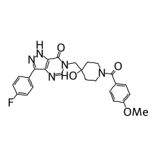 COc1ccc(C(=O)N2CCC(O)(Cn3cnc4c(-c5ccc(F)cc5)n[nH]c4c3=O)CC2)cc1